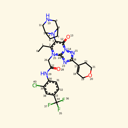 CCc1c(N2C3CCC2CNC3)c(=O)n2nc(C3=CCOCC3)nc2n1CC(=O)Nc1ccc(C(F)(F)F)cc1Cl